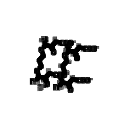 CCC(OCCCOC(CC)C(=O)CC(=O)[O-])C(=O)CC(=O)[O-].CCC(OCCCOC(CC)C(=O)CC(=O)[O-])C(=O)CC(=O)[O-].[Ti+4]